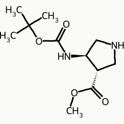 COC(=O)[C@H]1CNC[C@@H]1NC(=O)OC(C)(C)C